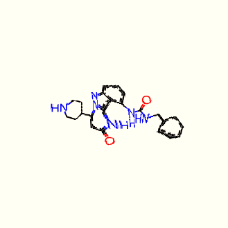 O=C(NCc1ccccc1)Nc1cccc2nn3c(C4CCNCC4)cc(=O)[nH]c3c12